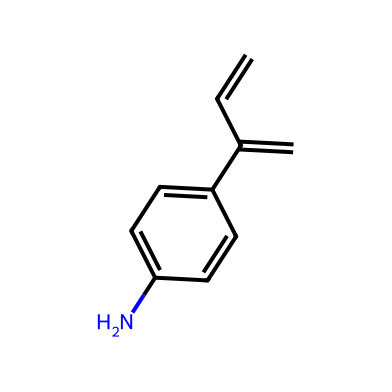 C=CC(=C)c1ccc(N)cc1